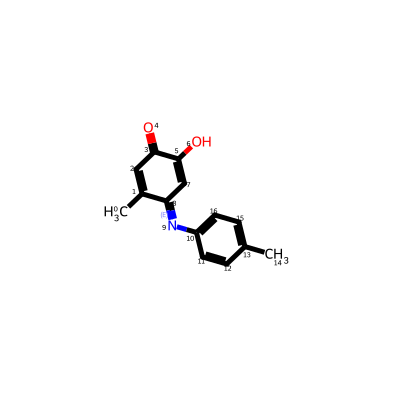 CC1=CC(=O)C(O)=C/C1=N\c1ccc(C)cc1